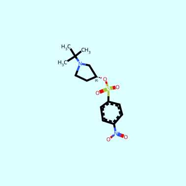 CC(C)(C)N1CC[C@@H](OS(=O)(=O)c2ccc([N+](=O)[O-])cc2)C1